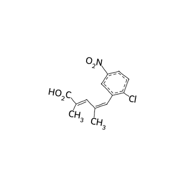 CC(=Cc1cc([N+](=O)[O-])ccc1Cl)C=C(C)C(=O)O